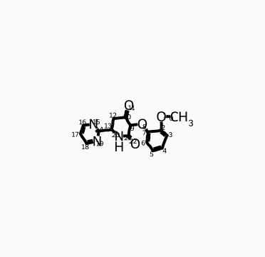 COc1ccccc1OC1C(=O)CC(c2ncccn2)NC1=O